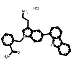 Cl.NCCc1cn(Cc2ccccc2C(N)=O)c2ccc(-c3cccc4c3oc3ccccc34)cc12